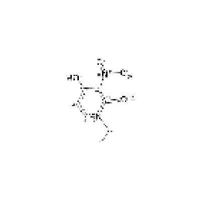 CCn1ccc(O)c([N+](=O)[O-])c1=O